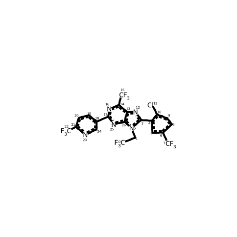 FC(F)(F)Cn1c(-c2cc(C(F)(F)F)ccc2Cl)nc2c(C(F)(F)F)nc(-c3ccc(C(F)(F)F)nc3)nc21